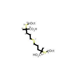 CCCCCCCCSC(C)(CCCSCCCC(C)(SCCCCCCCC)C(=O)O)C(=O)O